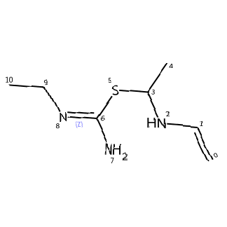 C=CNC(C)S/C(N)=N\CC